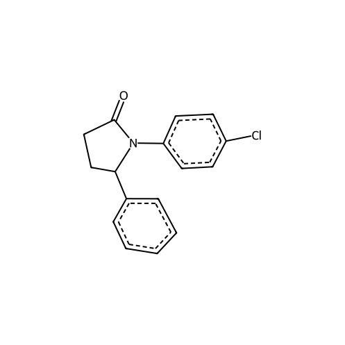 O=C1CCC(c2ccccc2)N1c1ccc(Cl)cc1